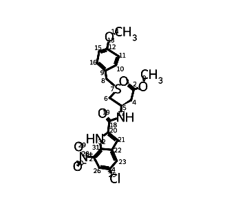 COC(=O)C[C@H](CSCc1ccc(OC)cc1)NC(=O)c1cc2cc(Cl)cc([N+](=O)[O-])c2[nH]1